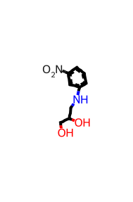 O=[N+]([O-])c1cccc(NCC(O)CO)c1